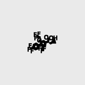 O=C(O)[C@H](CC1CC1)c1cc(OCC(F)(F)F)c(-c2ccc(C(F)(F)F)cc2)c(C(F)(F)F)c1